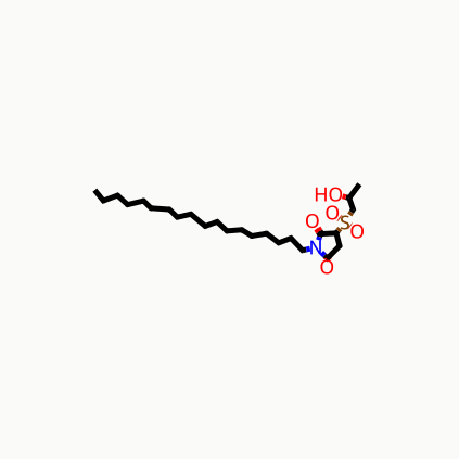 CCCCCCCCCCCCCCCCCCN1C(=O)CC(S(=O)(=O)CC(C)O)C1=O